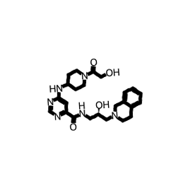 O=C(NC[C@H](O)CN1CCc2ccccc2C1)c1cc(NC2CCN(C(=O)CO)CC2)ncn1